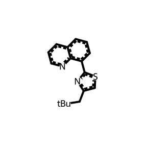 CC(C)(C)Cc1csc(-c2cccc3cccnc23)n1